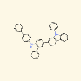 C1=CCCC(c2cc(C3=Cc4c(c5ccccc5n4-c4ccccc4)CC3)ccc2Nc2ccc(C3=CCCC=C3)cc2)=C1